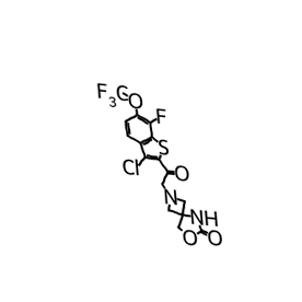 O=C1NC2(CO1)CN(CC(=O)c1sc3c(F)c(OC(F)(F)F)ccc3c1Cl)C2